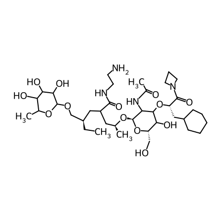 CC[C@@H](COC1OC(C)C(O)C(O)C1O)CC(C[C@H](C)O[C@@H]1O[C@@H](CO)C(O)C(O[C@@H](CC2CCCCC2)C(=O)N2CCC2)C1NC(C)=O)C(=O)NCCN